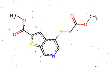 COC(=O)CSc1cncc2sc(C(=O)OC)cc12